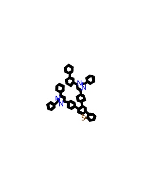 c1ccc(-c2cccc(-c3cc(-c4ccc(-c5cc6c(cc5-c5ccc(-c7cc(-c8ccccc8)nc(-c8ccccc8)n7)cc5)sc5ccccc56)cc4)nc(-c4ccccc4)n3)c2)cc1